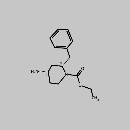 CCOC(=O)N1CC[C@H](N)C[C@@H]1Cc1ccccc1